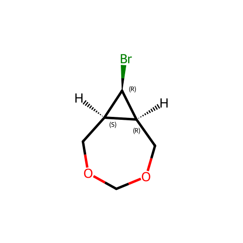 Br[C@H]1[C@H]2COCOC[C@@H]12